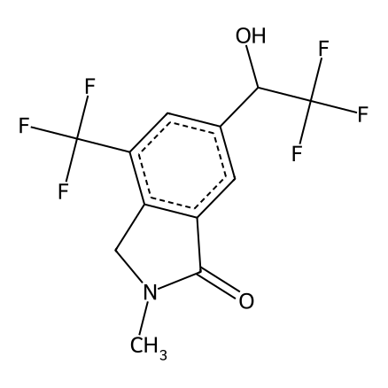 CN1Cc2c(cc(C(O)C(F)(F)F)cc2C(F)(F)F)C1=O